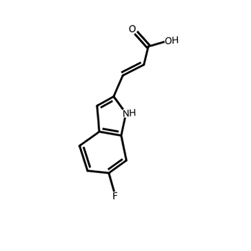 O=C(O)C=Cc1cc2ccc(F)cc2[nH]1